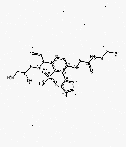 NC[C@@H](O)CNC(C=O)c1ccc(NCC(=O)NCCO)c(-c2nn[nH]n2)c1S(N)(=O)=O